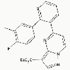 CCOC(=O)c1cnn2ccc(-c3cccnc3-c3ccc(F)c(C)c3)nc12